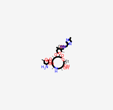 CC[C@@H]1OC(=O)[C@H](C)[C@H](OC2C[C@@](C)(OC)[C@](O)(CNCc3cnc(C)cn3)[C@H](C)O2)[C@@H](C)[C@@H](O[C@@H]2O[C@H](C)C[C@H](N)[C@H]2O)[C@](C)(O)C[C@@H](C)NC[C@@H](C)[C@H](O)[C@]1(C)O